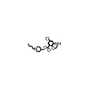 CCCCN1CCC(COC(=O)c2cc(Cl)cc3c2OCCN3)CC1